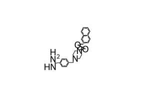 N=C(N)c1ccc(CN2CCN(S(=O)(=O)c3ccc4ccccc4c3)CC2)cc1